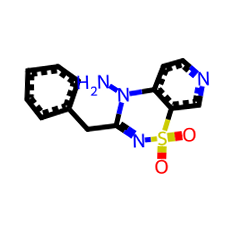 NN1C(Cc2ccccc2)=NS(=O)(=O)c2cnccc21